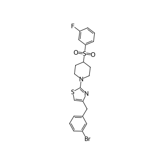 O=S(=O)(c1cccc(F)c1)C1CCN(c2nc(Cc3cccc(Br)c3)cs2)CC1